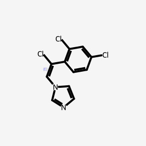 Cl/C(=C/n1ccnc1)c1ccc(Cl)cc1Cl